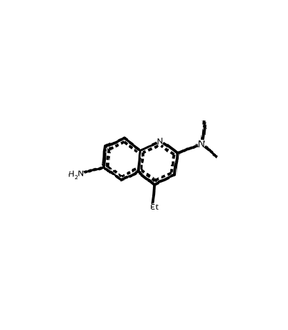 CCc1cc(N(C)C)nc2ccc(N)cc12